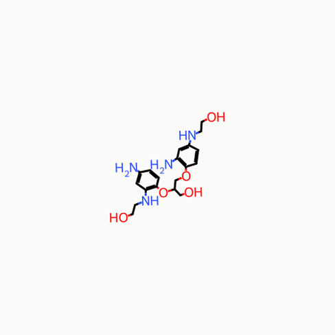 Nc1ccc(OC(CO)COc2ccc(NCCO)cc2N)c(NCCO)c1